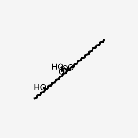 CCCCCC=CCC=CCCCCCCCCOCC(CCCCCCCCC=CCC(O)CCCCCC)OC(=O)O